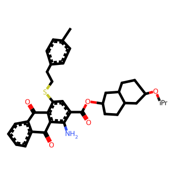 Cc1ccc(CCSc2cc(C(=O)OC3CCC4CC(OC(C)C)CCC4C3)c(N)c3c2C(=O)c2ccccc2C3=O)cc1